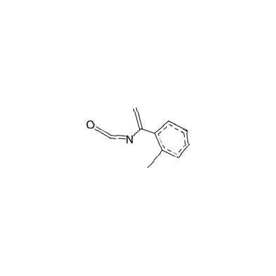 C=C(N=C=O)c1ccccc1C